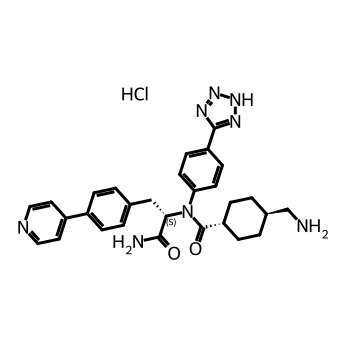 Cl.NC[C@H]1CC[C@H](C(=O)N(c2ccc(-c3nn[nH]n3)cc2)[C@@H](Cc2ccc(-c3ccncc3)cc2)C(N)=O)CC1